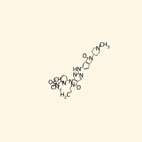 C=CCn1c(=O)c2cnc(Nc3ccc4c(c3)C(=O)N(C3CCN(C)CC3)C4)nc2n1-c1cccc(N=S(C)(C)=O)n1